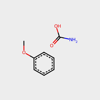 COc1ccccc1.NC(=O)O